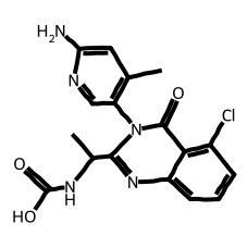 Cc1cc(N)ncc1-n1c(C(C)NC(=O)O)nc2cccc(Cl)c2c1=O